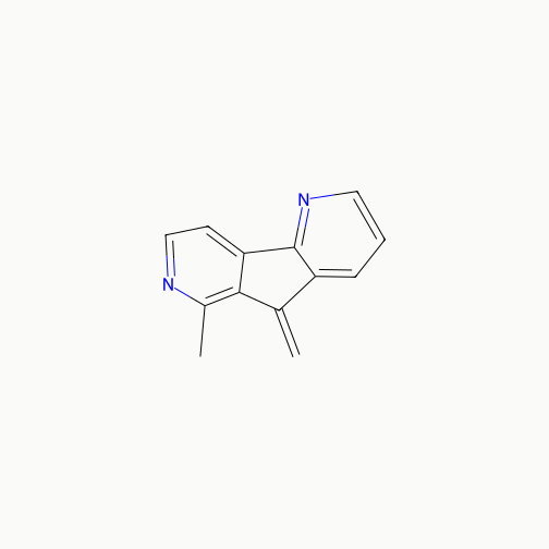 C=C1c2cccnc2-c2ccnc(C)c21